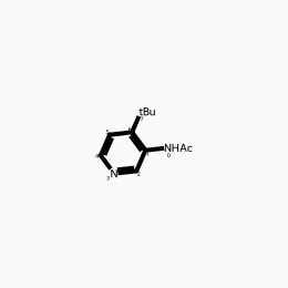 CC(=O)Nc1cnccc1C(C)(C)C